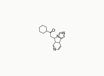 O=C(CC1C2C=NC=CC2c2cncn21)C1CCCCC1